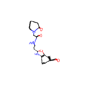 O=C1C=CC2=C(C1)OC(CCNC(=O)CN1CCCC1=O)N2